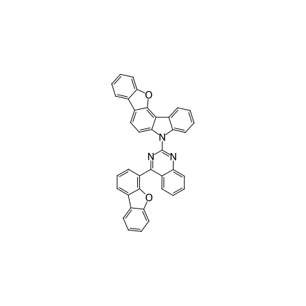 c1ccc2c(-c3cccc4c3oc3ccccc34)nc(-n3c4ccccc4c4c5oc6ccccc6c5ccc43)nc2c1